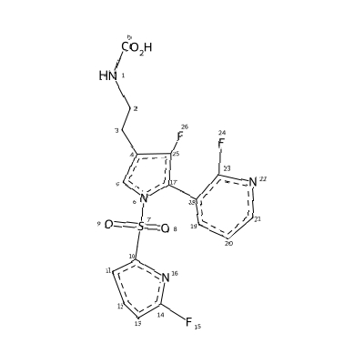 O=C(O)NCCc1cn(S(=O)(=O)c2cccc(F)n2)c(-c2cccnc2F)c1F